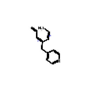 C=C/C=C(\C=C/N)Cc1ccncc1